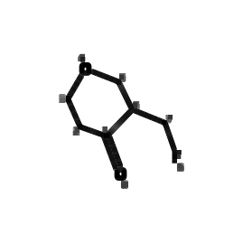 O=C1CCOCC1CF